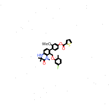 COc1cc(OC(=O)c2cccs2)ccc1-c1ccc2c(c1COc1cc(F)ccc1C)N(C)C(=O)C(C)(C)N2